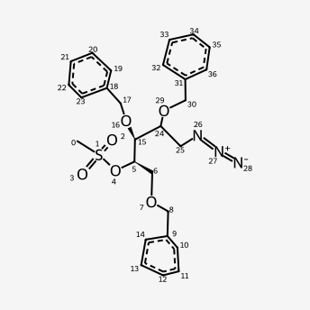 CS(=O)(=O)O[C@H](COCc1ccccc1)[C@@H](OCc1ccccc1)C(CN=[N+]=[N-])OCc1ccccc1